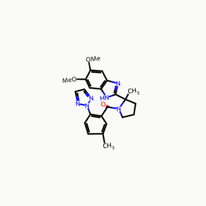 COc1cc2nc(C3(C)CCCN3C(=O)c3cc(C)ccc3-n3nccn3)[nH]c2cc1OC